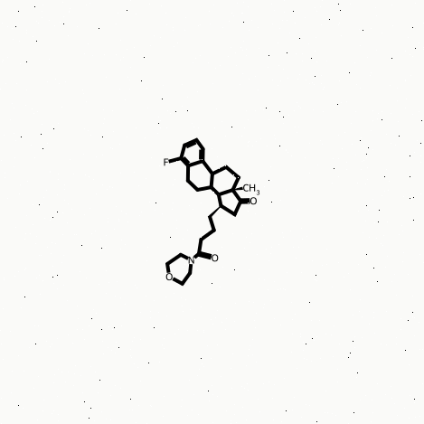 C[C@]12CCC3c4cccc(F)c4CCC3C1[C@H](CCCC(=O)N1CCOCC1)CC2=O